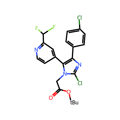 CC(C)(C)OC(=O)Cn1c(Cl)nc(-c2ccc(Cl)cc2)c1-c1ccnc(C(F)F)c1